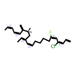 C=C/C=C(Cl)\C=C(\F)CCCC/C=C\C(=C/C)C[C@H](C)C(=C)/C=C\C=C/C